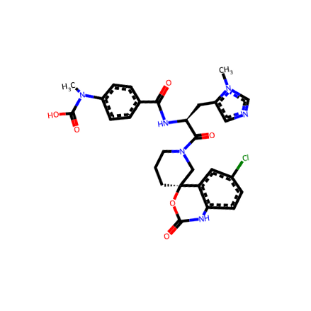 CN(C(=O)O)c1ccc(C(=O)N[C@@H](Cc2cncn2C)C(=O)N2CCC[C@@]3(C2)OC(=O)Nc2ccc(Cl)cc23)cc1